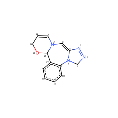 C1=CN2C=C3N=NCN3c3ccccc3C2OC1